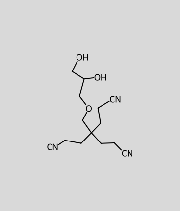 [C-]#[N+]CCC(CCC#N)(CCC#N)COCC(O)CO